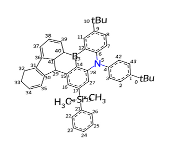 CC(C)(C)c1ccc(N2c3ccc(C(C)(C)C)cc3B3c4c(cc([Si](C)(C)c5ccccc5)cc42)C2C4=C(CCC=C4)C4=CC=CC3C42)cc1